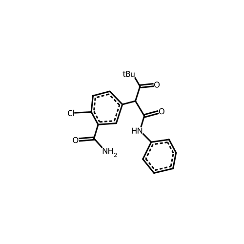 CC(C)(C)C(=O)C(C(=O)Nc1ccccc1)c1ccc(Cl)c(C(N)=O)c1